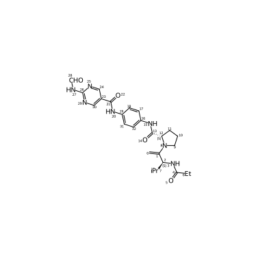 C=C([C@@H](NC(=O)CC)C(C)C)N1CCC[C@H]1C(=O)Nc1ccc(NC(=O)c2cnc(NC=O)nc2)cc1